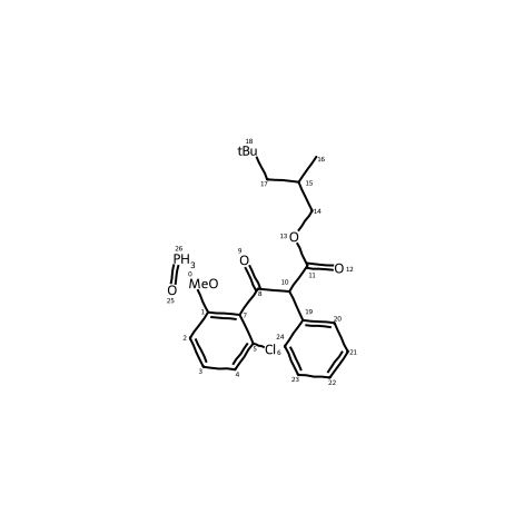 COc1cccc(Cl)c1C(=O)C(C(=O)OCC(C)CC(C)(C)C)c1ccccc1.O=[PH3]